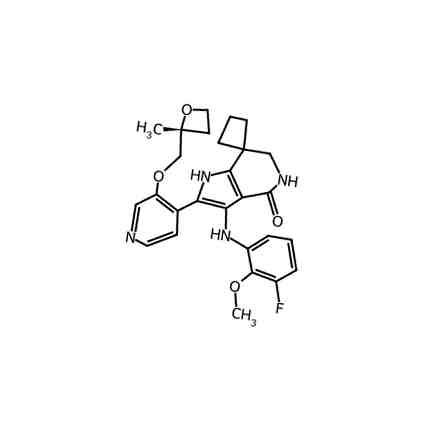 COc1c(F)cccc1Nc1c(-c2ccncc2OC[C@@]2(C)CCO2)[nH]c2c1C(=O)NCC21CCC1